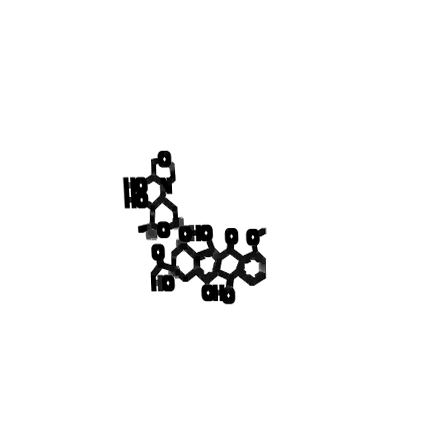 COc1cccc2c1C(=O)c1c(O)c3c(c(O)c1C2=O)C[C@@](O)(C(C)=O)C[C@@H]3O[C@H]1CC(N2CCOCC2O)C(O)[C@H](C)O1